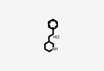 Cl.c1ccc(CCC2CCCNC2)cc1